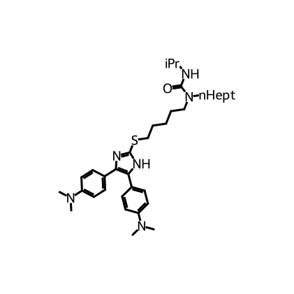 CCCCCCCN(CCCCCSc1nc(-c2ccc(N(C)C)cc2)c(-c2ccc(N(C)C)cc2)[nH]1)C(=O)NC(C)C